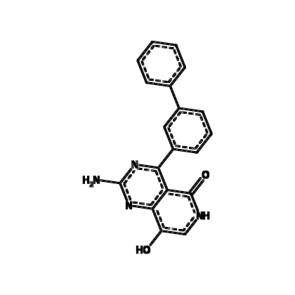 Nc1nc(-c2cccc(-c3ccccc3)c2)c2c(=O)[nH]cc(O)c2n1